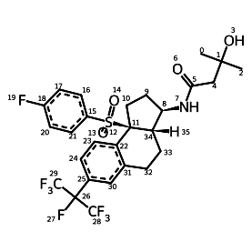 CC(C)(O)CC(=O)N[C@@H]1CC[C@@]2(S(=O)(=O)c3ccc(F)cc3)c3ccc(C(F)(C(F)(F)F)C(F)(F)F)cc3CC[C@@H]12